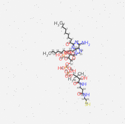 CCCCCCCCC(=O)C1=NC2(C(=O)CCCCCCCC)C(=NCN2[C@@H]2O[C@H](COP(=O)(O)OP(=O)(O)OCC(C)(C)C(O)C(=O)NCCC(=O)NCCS)[C@@H](OP(=O)(O)O)[C@H]2O)C(N)=N1